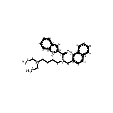 CCN(CC)CCCCN(Cc1ccc2ccccc2c1)C(=O)c1cc2ccccc2s1